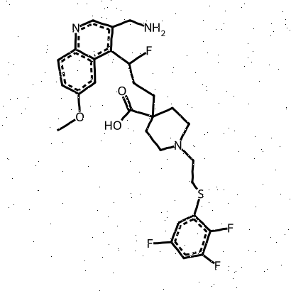 COc1ccc2ncc(CN)c(C(F)CCC3(C(=O)O)CCN(CCSc4cc(F)cc(F)c4F)CC3)c2c1